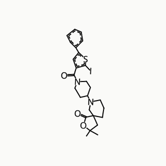 CC1(C)CC2(CCCN(C3CCN(C(=O)c4cc(-c5ccccc5)sc4I)CC3)C2)C(=O)O1